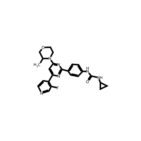 CC1COCCN1c1cc(-c2ccncc2F)nc(-c2ccc(NC(=O)NC3CC3)cc2)n1